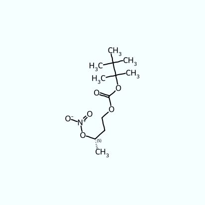 C[C@@H](CCOC(=O)OC(C)(C)C(C)(C)C)O[N+](=O)[O-]